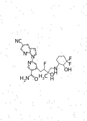 CC(O)(CNC1CCCC(F)(F)C1O)C(F)Cc1cc(-n2ccc3cc(C#N)cnc32)ncc1C(N)=O